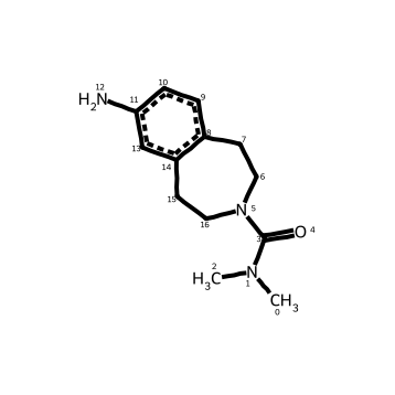 CN(C)C(=O)N1CCc2ccc(N)cc2CC1